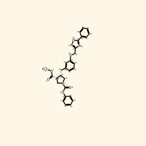 COC(=O)[C@H]1CN(C(=O)Oc2ccccc2)C[C@H]1Cc1cccc(OCc2noc(-c3ccccc3)n2)c1